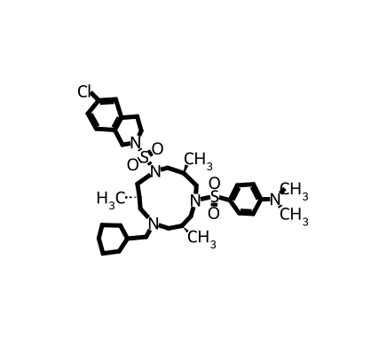 C[C@@H]1CN(CC2CCCCC2)C[C@H](C)CN(S(=O)(=O)N2CCc3cc(Cl)ccc3C2)C[C@@H](C)CN(S(=O)(=O)c2ccc(N(C)C)cc2)C1